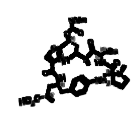 CC[C@H](C)[C@H](NC(=O)[C@@]1(C)CCCN1C)C(=O)N(C)C(C[C@@H](OC(=O)NC)c1nc(C(=O)N[C@@H](Cc2ccc(N)cc2)C[C@H](C)C(=O)O)cs1)C(C)C